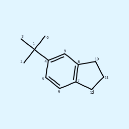 CC(C)(C)c1ccc2c(c1)CC[C]2